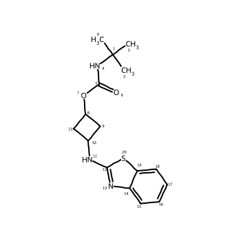 CC(C)(C)NC(=O)OC1CC(Nc2nc3ccccc3s2)C1